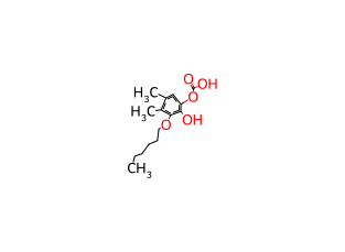 CCCCCCOc1c(C)c(C)cc(OC(=O)O)c1O